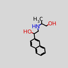 CC(CO)NCC(O)c1ccc2ccccc2c1